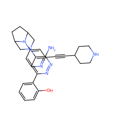 Nc1nnc(-c2ccccc2O)cc1N1CC2CCC(C1)N2c1ccnc(C#CC2CCNCC2)c1